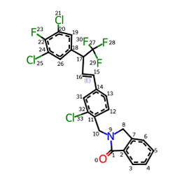 O=C1c2ccccc2CN1Cc1ccc(/C=C/C(c2cc(Cl)c(F)c(Cl)c2)C(F)(F)F)cc1Cl